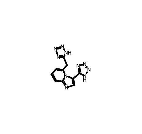 c1cc(Cc2nnn[nH]2)n2c(-c3nnn[nH]3)cnc2c1